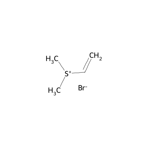 C=C[S+](C)C.[Br-]